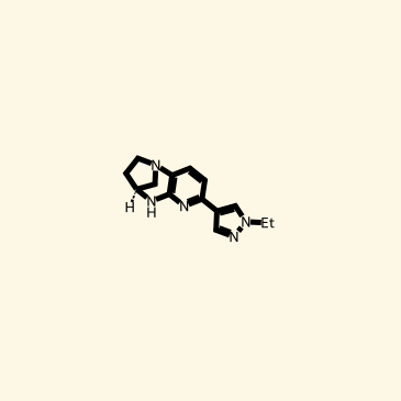 CCn1cc(-c2ccc3c(n2)N[C@H]2CCN3C2)cn1